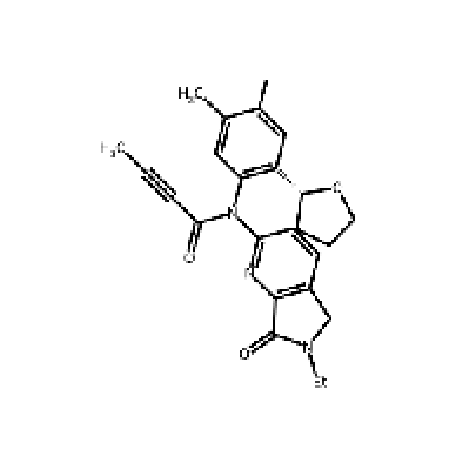 CC#CC(=O)N(c1ccc2c(n1)C(=O)N(CC)C2)c1cc(C)c(I)cc1[C@H]1CCCO1